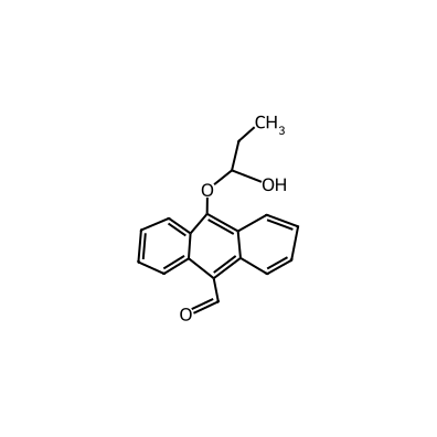 CCC(O)Oc1c2ccccc2c(C=O)c2ccccc12